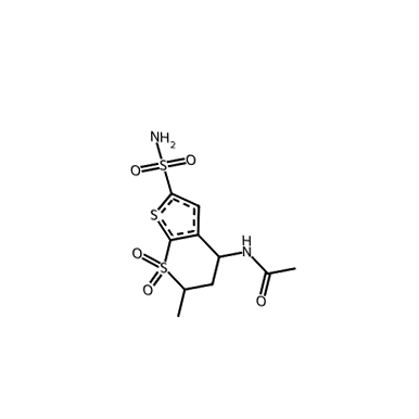 CC(=O)NC1CC(C)S(=O)(=O)c2sc(S(N)(=O)=O)cc21